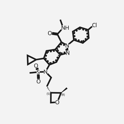 CNC(=O)c1c2cc(C3CC3)c(N(CC[C@H]3CO[C@@H]3C)S(C)(=O)=O)cc2nn1-c1ccc(Cl)cc1